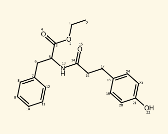 CCOC(=O)C(Cc1ccccc1)NC(=O)CCc1ccc(O)cc1